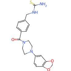 NC(=S)NCc1ccc(C(=O)N2CCN(c3ccc4c(c3)OCO4)CC2)cc1